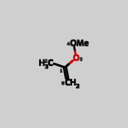 C=C(C)OOC